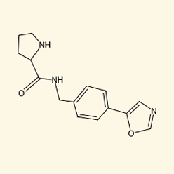 O=C(NCc1ccc(-c2cnco2)cc1)C1CCCN1